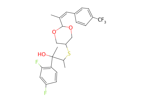 C/C(=C/c1ccc(C(F)(F)F)cc1)C1OCC(SC(C)C(C)(O)c2ccc(F)cc2F)CO1